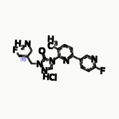 Cc1ccc(-c2ccc(F)nc2)nc1-n1cnn(C/C(=C/F)CN)c1=O.Cl